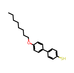 CCCCCCCCOc1ccc(-c2ccc(S)cc2)cc1